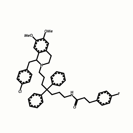 COc1cc2c(cc1OC)C(Cc1ccc(Cl)cc1)N(CCCC(CCCNC(=O)CCc1ccc(F)cc1)(c1ccccc1)c1ccccc1)CC2